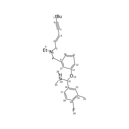 CCN(C/C=C/C#CC(C)(C)C)Cc1cccc(OC(c2ccc(F)c(C)c2)[SiH](C)C)c1